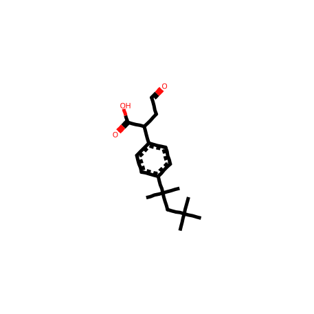 CC(C)(C)CC(C)(C)c1ccc(C(CC=O)C(=O)O)cc1